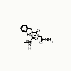 C[C@@H]1N[C@@H]1C(=O)N[C@@H](Cc1ccccc1)C(=O)NCC(N)=O